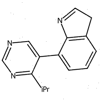 CC(C)c1ncncc1-c1cccc2c1N=CC2